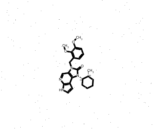 COc1cccc(Cn2c(=O)n([C@H]3CCCC[C@H]3C)c3c4cc[nH]c4ncc32)c1OC